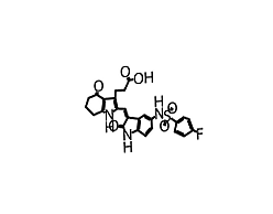 O=C(O)CCc1c(C=C2C(=O)Nc3ccc(NS(=O)(=O)c4ccc(F)cc4)cc32)[nH]c2c1C(=O)CCC2